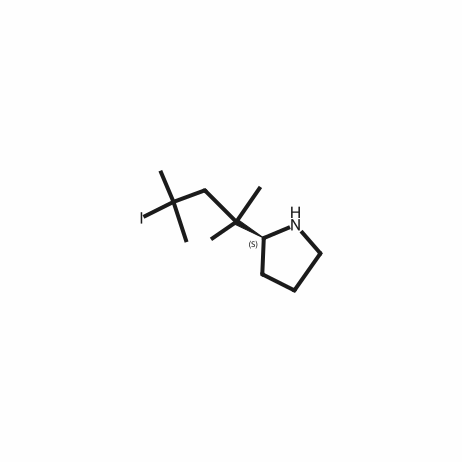 CC(C)(I)CC(C)(C)[C@@H]1CCCN1